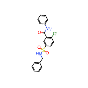 O=C(Nc1ccccc1)c1cc(S(=O)(=O)NCc2ccccc2)ccc1Cl